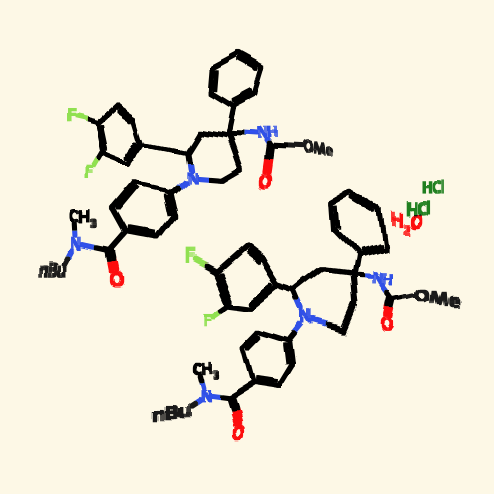 CCCCN(C)C(=O)c1ccc(N2CCC(NC(=O)OC)(c3ccccc3)CC2c2ccc(F)c(F)c2)cc1.CCCCN(C)C(=O)c1ccc(N2CCC(NC(=O)OC)(c3ccccc3)CC2c2ccc(F)c(F)c2)cc1.Cl.Cl.O